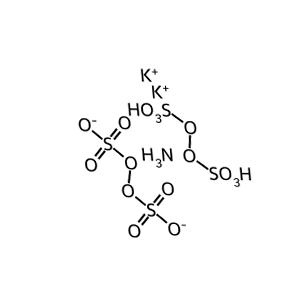 N.O=S(=O)(O)OOS(=O)(=O)O.O=S(=O)([O-])OOS(=O)(=O)[O-].[K+].[K+]